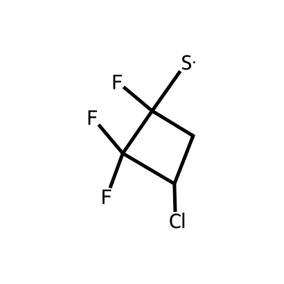 FC1([S])CC(Cl)C1(F)F